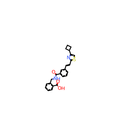 O=C(NCc1ccccc1C(=O)O)c1cccc(/C=C/c2nc(C3CCC3)cs2)c1